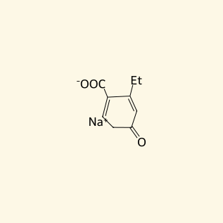 CCC1=CC(=O)CC=C1C(=O)[O-].[Na+]